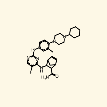 Cc1cc(Nc2ncc(F)c(NC3C4C=CC(C4)C3C(N)=O)n2)ccc1N1CCN(C2CCCCC2)CC1